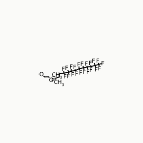 C[Si](C)(CCC(F)(F)C(F)(F)C(F)(F)C(F)(F)C(F)(F)C(F)(F)C(F)(F)C(F)(F)C(F)(F)C(F)(F)F)OCC[O]